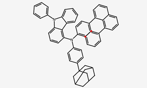 c1ccc(-c2cccc3cccc(-c4ccc(N(c5ccc(C67CC8CC(CC(C8)C6)C7)cc5)c5cccc6c5c5ccccc5n6-c5ccccc5)cc4)c23)cc1